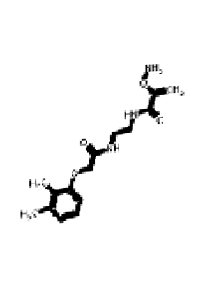 C=C(ON)C(=O)NCCNC(=O)COc1cccc(C)c1C